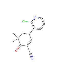 CC1(C)CC(c2cccnc2Cl)C=C(C#N)C1=O